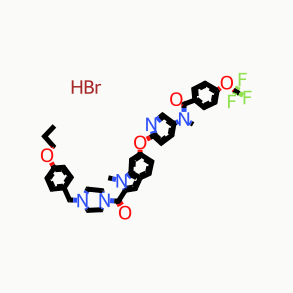 Br.CCCOc1ccc(CN2CCN(C(=O)c3cc4ccc(Oc5ccc(N(C)C(=O)c6ccc(OC(F)(F)F)cc6)cn5)cc4n3C)CC2)cc1